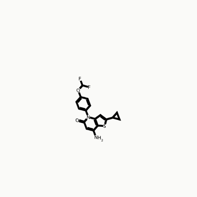 Nc1cc(=O)n(-c2ccc(OC(F)F)cc2)c2cc(C3CC3)sc12